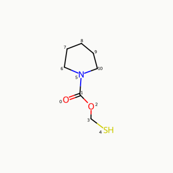 O=C(OCS)N1CCCCC1